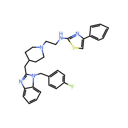 Fc1ccc(Cn2c(CC3CCN(CCNc4nc(-c5ccccc5)cs4)CC3)nc3ccccc32)cc1